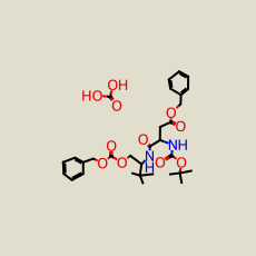 CC(C)(C)OC(=O)NC(CC(=O)OCc1ccccc1)C(=O)NC(COC(=O)OCc1ccccc1)C(C)(C)C.O=C(O)O